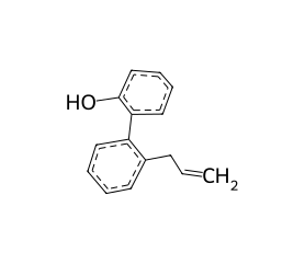 C=CCc1ccccc1-c1ccccc1O